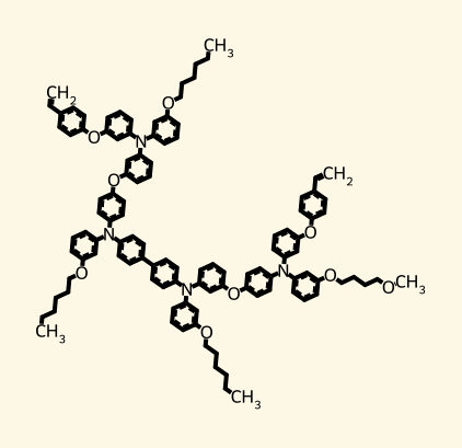 C=Cc1ccc(Oc2cccc(N(c3ccc(Oc4cccc(N(c5ccc(-c6ccc(N(c7ccc(Oc8cccc(N(c9cccc(OCCCCCC)c9)c9cccc(Oc%10ccc(C=C)cc%10)c9)c8)cc7)c7cccc(OCCCCCC)c7)cc6)cc5)c5cccc(OCCCCCC)c5)c4)cc3)c3cccc(OCCCCOC)c3)c2)cc1